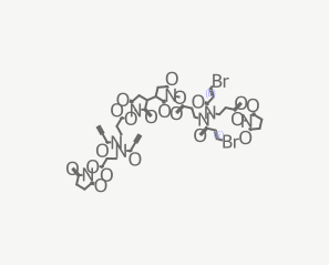 C#CC(=O)N(CCC(=O)ON1C(=O)CCC1=O)N(CCC(=O)ON1C(=O)CC(C2CC(=O)N(OC(=O)CCN(C(=O)/C=C/Br)N(CCC(=O)ON3C(=O)CCC3=O)C(=O)/C=C/Br)C2=O)C1=O)C(=O)C#C